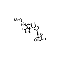 COCCNc1cnc(-c2cc(C#C[C@@]3(CO)CCNC3=O)ccc2F)nc1C(N)=O